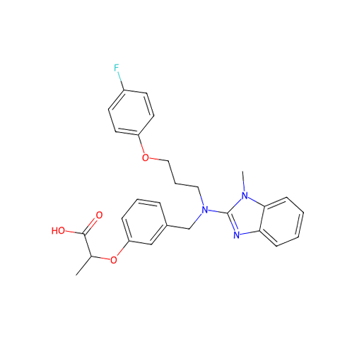 CC(Oc1cccc(CN(CCCOc2ccc(F)cc2)c2nc3ccccc3n2C)c1)C(=O)O